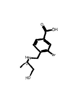 C[C@H](CO)NCc1ccc(C(=O)O)cc1Br